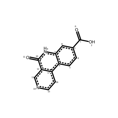 O=C(O)c1ccc2c(c1)[nH]c(=O)c1cnccc12